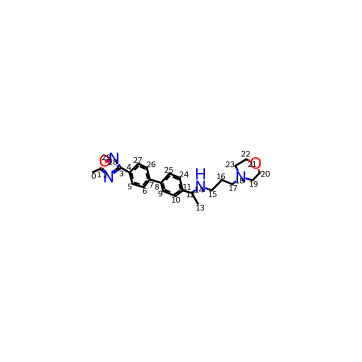 Cc1nc(-c2ccc(-c3ccc(C(C)NCCCN4CCOCC4)cc3)cc2)no1